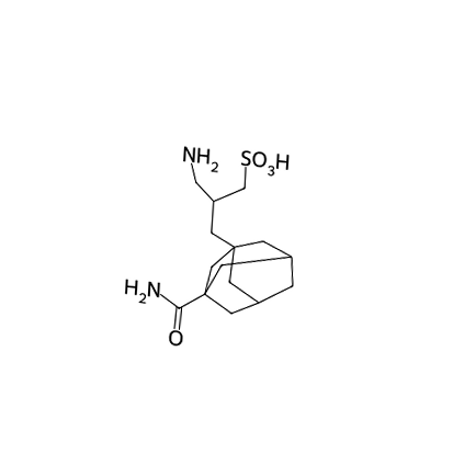 NCC(CC12CC3CC(C1)CC(C(N)=O)(C3)C2)CS(=O)(=O)O